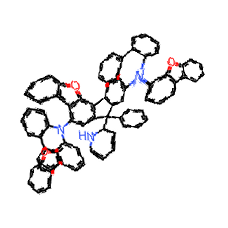 C1=CNC(C2(c3ccccc3)c3cc(N(c4ccccc4-c4ccccc4)c4cccc5c4oc4ccccc45)ccc3-c3c2cc(N(c2ccccc2-c2ccccc2)c2cccc4c2oc2ccccc24)c2c3oc3ccccc32)C=C1